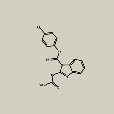 COC(=O)Nc1nc2ccccc2n1C(=N)Oc1ccc(Cl)cc1